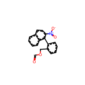 O=[C]OCc1ccccc1-c1c([N+](=O)[O-])ccc2ccccc12